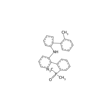 Cc1ccccc1-c1ccccc1Nc1ccccc1-c1ccccc1P(C)(C)=O